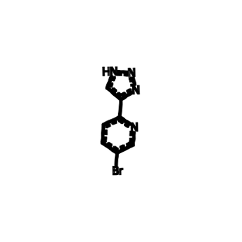 Brc1ccc(-c2c[nH]nn2)nc1